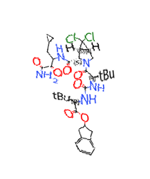 CC(C)(C)[C@@H](NC(=O)N[C@@H](C(=O)N1C[C@H]2[C@@H]([C@H]1C(=O)NC(CC1CC1)C(=O)C(N)=O)C2(Cl)Cl)C(C)(C)C)C(=O)OC1Cc2ccccc2C1